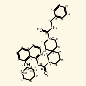 Cc1cccc2ccnc(N(C(=O)N3CCCC4(CCN(C(=O)OCc5ccccc5)CC4)C3)[C@@H]3CCCNC3)c12